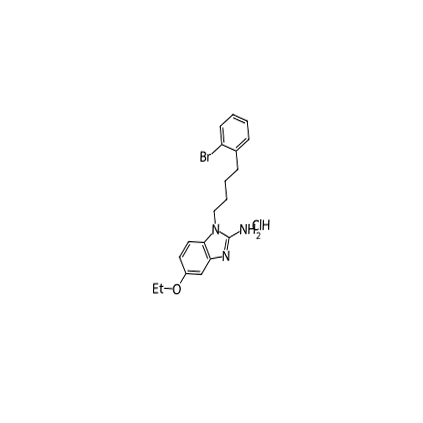 CCOc1ccc2c(c1)nc(N)n2CCCCc1ccccc1Br.Cl